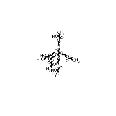 CC=C(O)C(=O)OCCCOCC(OCCCOC(=O)C(O)=CC)C(OCCCOC(=O)C(O)=CC)C(COCCCOC(=O)C(O)=CC)OCCCOC(=O)C(O)=CC